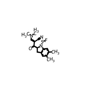 Cc1cc2c(cc1C)N(SF)C(C(=O)/C(C#N)=C/N(C)C)C2